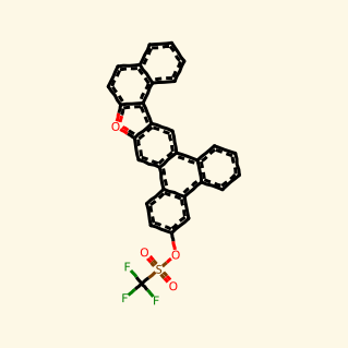 O=S(=O)(Oc1ccc2c(c1)c1ccccc1c1cc3c(cc21)oc1ccc2ccccc2c13)C(F)(F)F